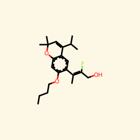 CCCCOc1cc2c(cc1C(C)=C(F)CO)C(C(C)C)=CC(C)(C)O2